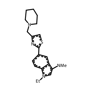 CCn1cc(NC)c2cc(-c3nc(CN4CCCCC4)cs3)ccc21